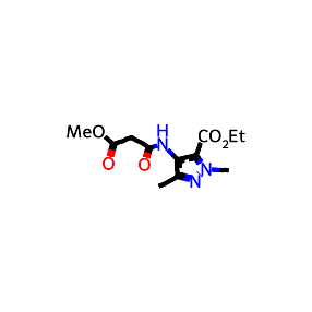 CCOC(=O)c1c(NC(=O)CC(=O)OC)c(C)nn1C